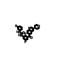 O=C(Nc1cccc(F)c1)Nc1cc(F)cc(C(=O)c2ccc3ncc(N4CCOCC4)cc3c2)c1F